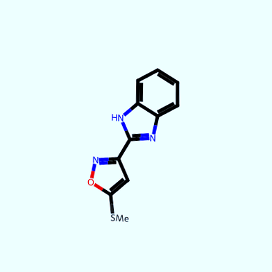 CSc1cc(-c2nc3ccccc3[nH]2)no1